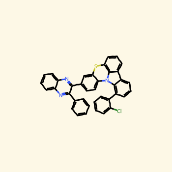 Clc1ccccc1-c1cccc2c3cccc4c3n(c12)-c1ccc(-c2nc3ccccc3nc2-c2ccccc2)cc1S4